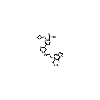 COc1c(CCNc2cc(-c3ccc(C(=O)O)c(OC4CCC4)c3)ncn2)cc2ccsc2c1F